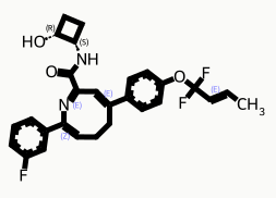 C/C=C/C(F)(F)Oc1ccc(/C2=C/C(C(=O)N[C@H]3CC[C@H]3O)=N\C(c3cccc(F)c3)=C/CC2)cc1